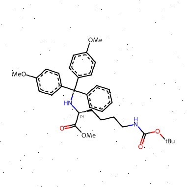 COC(=O)[C@H](CCCCNC(=O)OC(C)(C)C)NC(c1ccccc1)(c1ccc(OC)cc1)c1ccc(OC)cc1